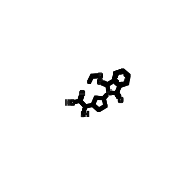 CC=O.O=C(O)C(S)C1CCC(N2C(=O)c3ccccc3C2=O)C1